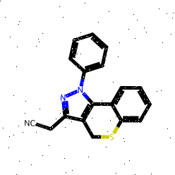 N#CCc1nn(-c2ccccc2)c2c1CSc1ccccc1-2